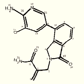 C=C(CN1Cc2c(cccc2-c2cnc(N)c(Cl)c2)C1=O)C(N)=O